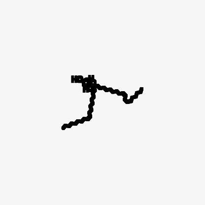 CCCCC/C=C\C/C=C\CCCCCCCCC1(CCCCCCCC/C=C\CCCCCCCC)O[C@H]2CC(O)C[C@H]2O1